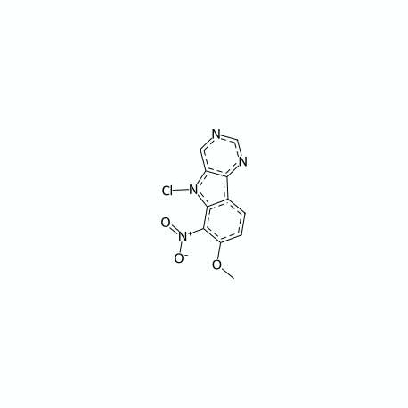 COc1ccc2c3ncncc3n(Cl)c2c1[N+](=O)[O-]